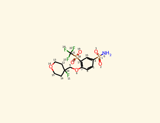 NS(=O)(=O)c1ccc(OCC2(F)CCOCC2)c(S(=O)(=O)C(F)(F)F)c1